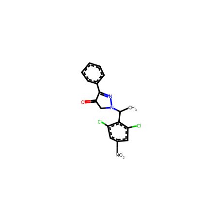 CC(c1c(Cl)cc([N+](=O)[O-])cc1Cl)N1CC(=O)C(c2ccccc2)=N1